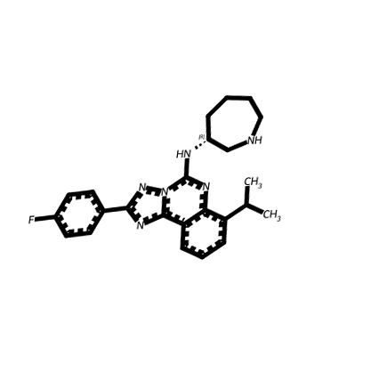 CC(C)c1cccc2c1nc(N[C@@H]1CCCCNC1)n1nc(-c3ccc(F)cc3)nc21